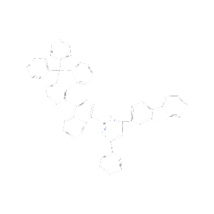 c1ccc(-c2cc(-c3ccc4c(c3)sc3ccccc34)nc(-c3ccc(-c4cccc5c4-c4ccccc4C5(c4ccccc4)c4ccccc4)c4ccccc34)n2)cc1